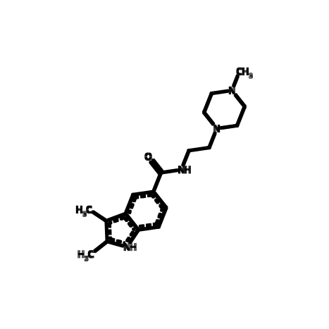 Cc1[nH]c2ccc(C(=O)NCCN3CCN(C)CC3)cc2c1C